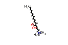 CCCCCCCCCCCCC(CCCCN(C)C)C(=O)O